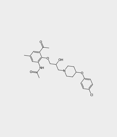 CC(=O)Nc1cc(C)cc(C(C)=O)c1OCC(O)CN1CCC(Oc2ccc(Cl)cc2)CC1